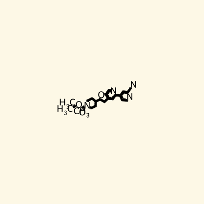 CC(C)(C)OC(=O)N1CCC(C2Cc3cc(-c4ccnc(C#N)c4)ncc3O2)CC1